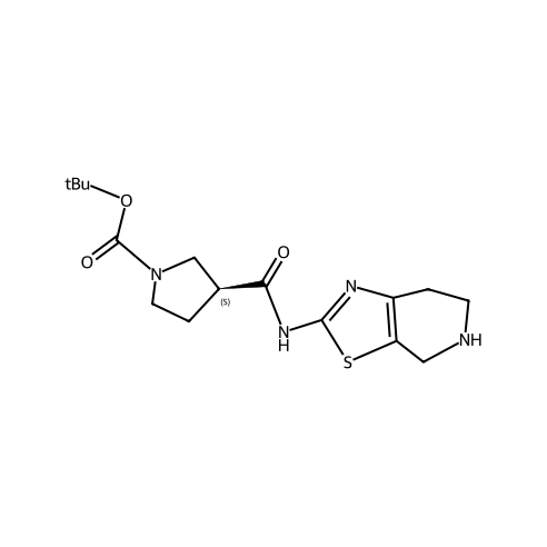 CC(C)(C)OC(=O)N1CC[C@H](C(=O)Nc2nc3c(s2)CNCC3)C1